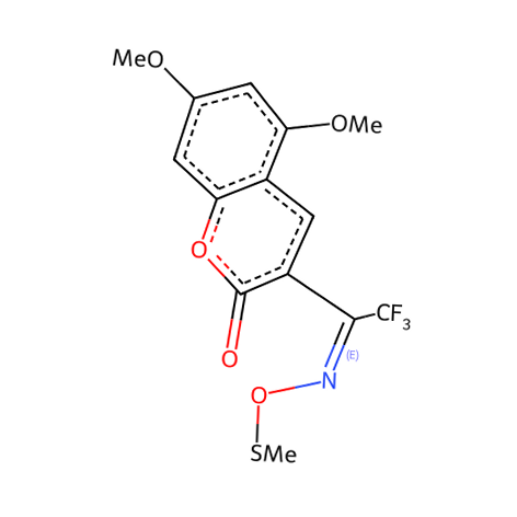 COc1cc(OC)c2cc(/C(=N\OSC)C(F)(F)F)c(=O)oc2c1